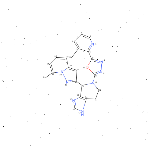 Cc1cccnc1-c1nnc(N2CCc3[nH]cnc3C2c2cc3cccc(C)n3n2)o1